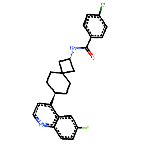 O=C(N[C@H]1CC2(CC[C@H](c3ccnc4ccc(F)cc43)CC2)C1)c1ccc(Cl)cc1